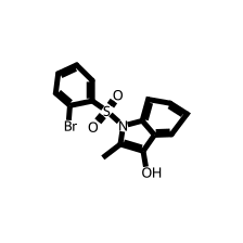 Cc1c(O)c2ccccc2n1S(=O)(=O)c1ccccc1Br